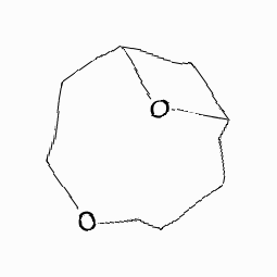 C1CC2CC(CCO1)O2